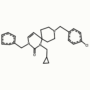 O=C1N(Cc2ccccc2)C=CC2(CCN(Cc3ccc(Cl)cc3)CC2)N1CC1CC1